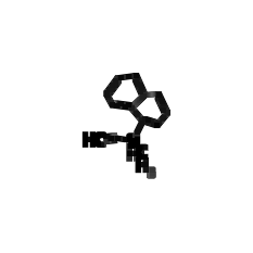 C#C[SiH](C)c1cccc2ccccc12